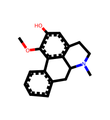 COc1c(O)cc2c3c1-c1ccccc1CC3N(C)CC2